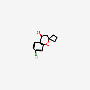 O=C1CC2(CCC2)Oc2cc(Cl)ccc21